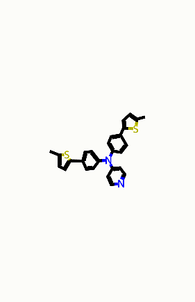 Cc1ccc(-c2ccc(N(c3ccncc3)c3ccc(-c4ccc(C)s4)cc3)cc2)s1